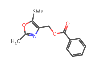 CSc1oc(C)nc1COC(=O)c1ccccc1